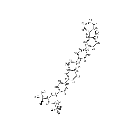 FC(F)(F)c1cc(-c2ccc(-c3ccc4cc(-c5ccc(-c6ccc7oc8ccccc8c7c6)cc5)cnc4c3)cc2)cc(C(F)(F)F)c1